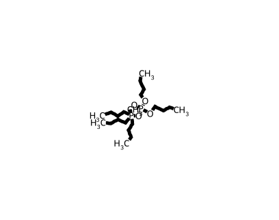 CCCCOP(=O)(OCCCC)OP(C)(CCCC)(CCCC)CCCC